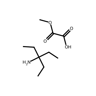 CCC(N)(CC)CC.COC(=O)C(=O)O